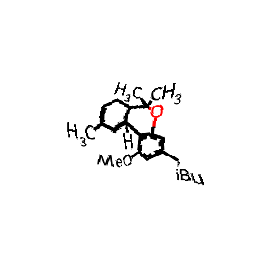 CC[C@@H](C)Cc1cc(OC)c2c(c1)OC(C)(C)C1CC=C(C)C[C@@H]21